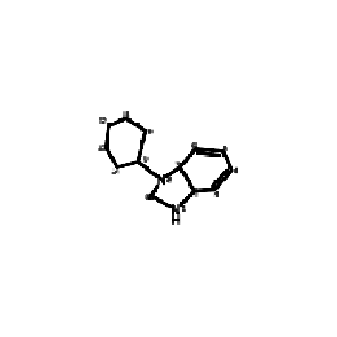 [C]1NC2C=CC=CC2N1C1CCCCC1